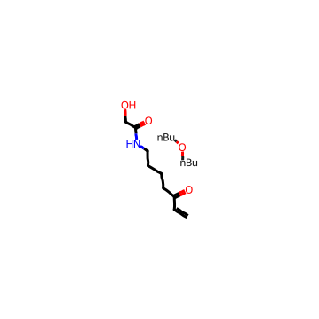 C=CC(=O)CCCCNC(=O)CO.CCCCOCCCC